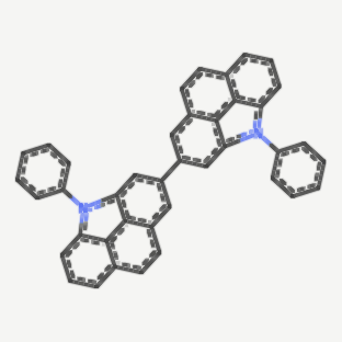 c1ccc(-n2c3cccc4ccc5cc(-c6cc7ccc8cccc9c8c7c(c6)n9-c6ccccc6)cc2c5c43)cc1